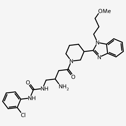 COCCCn1c(C2CCCN(C(=O)CC(N)CNC(=O)Nc3ccccc3Cl)C2)nc2ccccc21